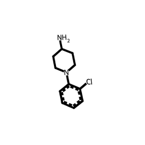 NC1CCN(c2ccccc2Cl)CC1